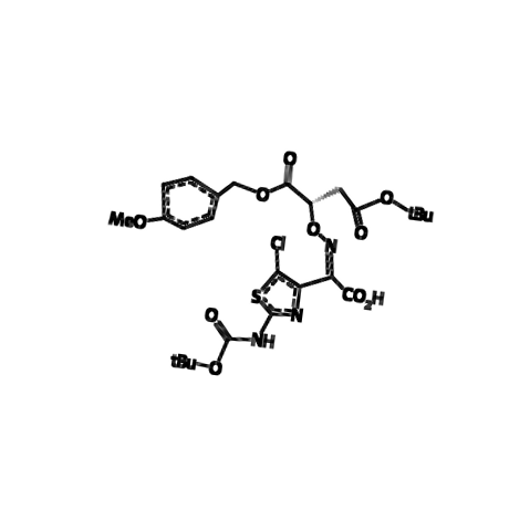 COc1ccc(COC(=O)[C@H](CC(=O)OC(C)(C)C)ON=C(C(=O)O)c2nc(NC(=O)OC(C)(C)C)sc2Cl)cc1